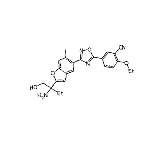 CCOc1ccc(-c2nc(-c3cc4cc(C(N)(CC)CO)oc4cc3C)no2)cc1C#N